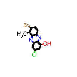 Cc1c(Br)ccc2nc3c(O)cc(Cl)cc3nc12